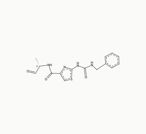 C[C@@H](C=O)NC(=O)c1csc(NC(=O)NCc2ccccc2)n1